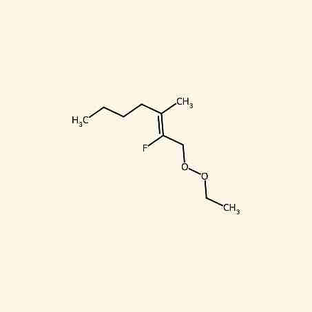 CCCCC(C)=C(F)COOCC